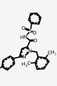 Cc1cccc(C)c1Cn1nc(-c2ccc(F)cc2)cc1C(=O)NS(=O)(=O)c1ccccc1